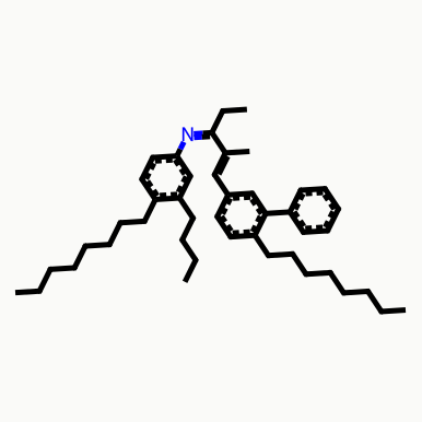 CCCCCCCCc1ccc(N=C(CC)C(C)=Cc2ccc(CCCCCCCC)c(-c3ccccc3)c2)cc1CCCC